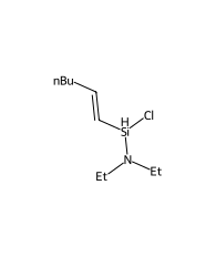 CCCCC=C[SiH](Cl)N(CC)CC